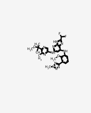 COc1c(Nc2cc(Nc3cnc(C(C)(C)OC)c(C)n3)nc3[nH]c(C(F)F)nc23)cccc1-c1nnn(C)n1